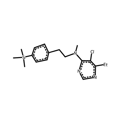 CCc1ncnc(N(C)CCc2ccc([Si](C)(C)C)cc2)c1Cl